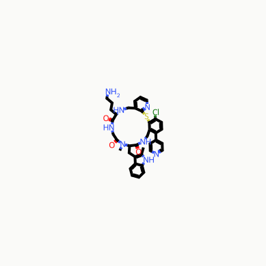 Cc1[nH]c2ccccc2c1CC1C(=O)NCc2c(-c3ccncc3)ccc(Cl)c2Sc2ncccc2CNC(CCCN)C(=O)NCC(=O)N1C